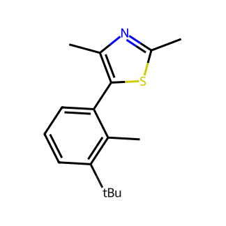 Cc1nc(C)c(-c2cccc(C(C)(C)C)c2C)s1